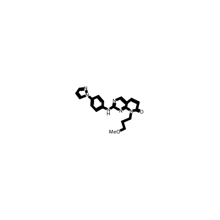 COCCCn1c(=O)ccc2cnc(Nc3ccc(-n4cccn4)cc3)nc21